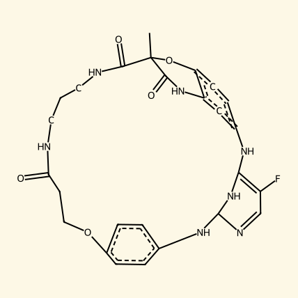 CC12Oc3ccc(cc3NC1=O)NC1=C(F)C=NC(N1)Nc1ccc(cc1)OCCC(=O)NCCCNC2=O